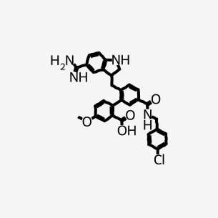 COc1ccc(-c2cc(C(=O)NCc3ccc(Cl)cc3)ccc2CC2CNc3ccc(C(=N)N)cc32)c(C(=O)O)c1